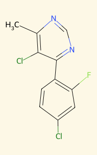 Cc1ncnc(-c2ccc(Cl)cc2F)c1Cl